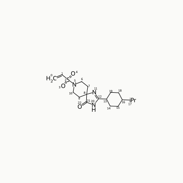 C=CS(=O)(=O)N1CCC2(CC1)N=C(C1CCC(C(C)C)CC1)NC2=O